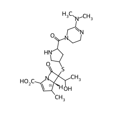 CC1C=C(C(=O)O)N2C(=O)C(SC3CNC(C(=O)N4CCN=C(N(C)C)C4)C3)(C(C)O)[C@H]12